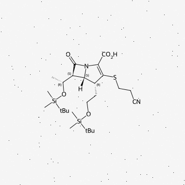 C[C@@H](O[Si](C)(C)C(C)(C)C)[C@H]1C(=O)N2C(C(=O)O)=C(SCCC#N)[C@H](CCO[Si](C)(C)C(C)(C)C)[C@H]12